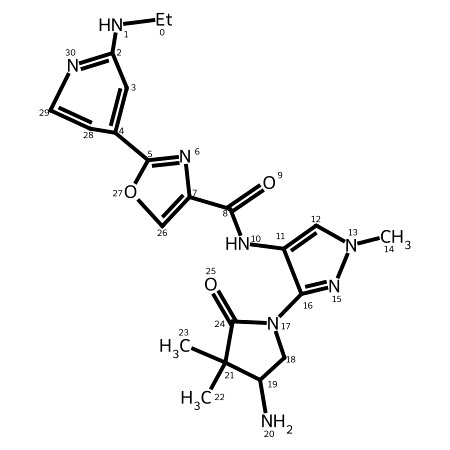 CCNc1cc(-c2nc(C(=O)Nc3cn(C)nc3N3CC(N)C(C)(C)C3=O)co2)ccn1